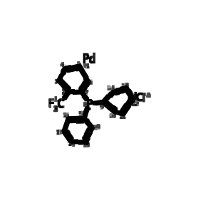 Cl.FC(F)(F)c1ccccc1P(c1ccccc1)c1ccccc1.[Pd]